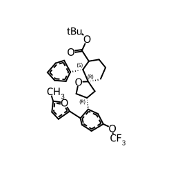 Cc1ccc(-c2ccc(OC(F)(F)F)cc2[C@@H]2CO[C@]3(CCCC(C(=O)OC(C)(C)C)[C@H]3c3ccccc3)C2)o1